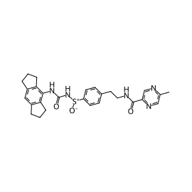 Cc1cnc(C(=O)NCCc2ccc([S+]([O-])NC(=O)Nc3c4c(cc5c3CCC5)CCC4)cc2)cn1